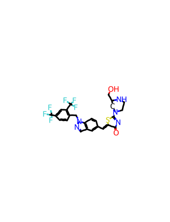 O=C1N=C(N2CCNC(CO)C2)S/C1=C\c1ccc2c(cnn2Cc2ccc(C(F)(F)F)cc2C(F)(F)F)c1